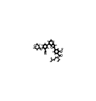 CCN(CCN(C)C)C(=O)c1ccc(-c2cc3nccc(-c4ccc(OC5CCOCC5)c(C#N)c4)c3o2)cc1OC